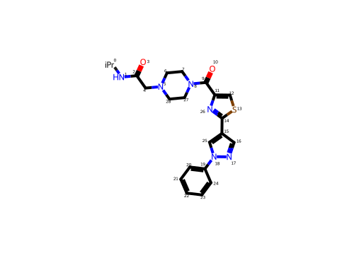 CC(C)NC(=O)CN1CCN(C(=O)c2csc(-c3cnn(-c4ccccc4)c3)n2)CC1